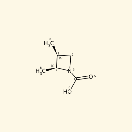 C[C@H]1CN(C(=O)O)[C@H]1C